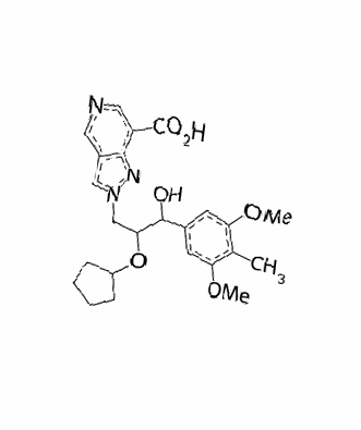 COc1cc(C(O)C(Cn2cc3cncc(C(=O)O)c3n2)OC2CCCC2)cc(OC)c1C